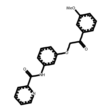 COc1cccc(C(=O)COc2cccc(NC(=O)c3ccccn3)c2)c1